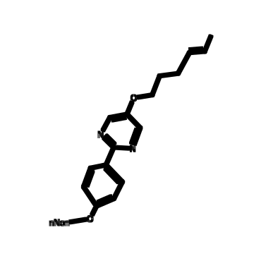 C/C=C/CCCOc1cnc(-c2ccc(OCCCCCCCCC)cc2)nc1